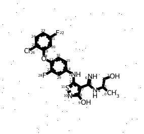 CC(CO)NC(=N)c1c(O)nsc1Nc1ccc(Oc2cc(F)ccc2Cl)c(F)c1